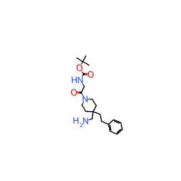 CC(C)(C)OC(=O)NCC(=O)N1CCC(CN)(CCc2ccccc2)CC1